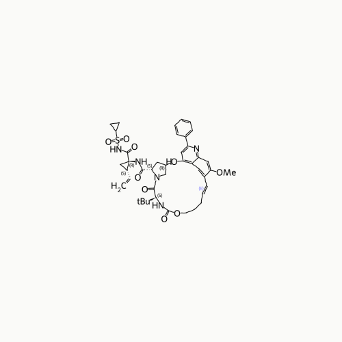 C=C[C@@H]1C[C@]1(NC(=O)[C@@H]1C[C@@H]2CN1C(=O)[C@H](C(C)(C)C)NC(=O)OCCC/C=C/c1cc3c(cc(-c4ccccc4)nc3cc1OC)O2)C(=O)NS(=O)(=O)C1CC1